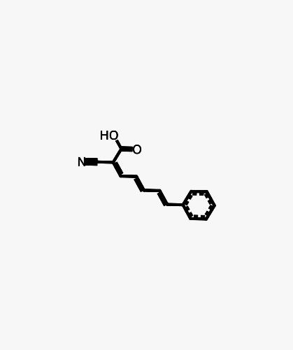 N#CC(=CC=CC=Cc1ccccc1)C(=O)O